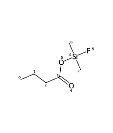 CCCC(=O)O[Si](C)(C)F